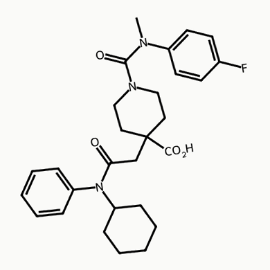 CN(C(=O)N1CCC(CC(=O)N(c2ccccc2)C2CCCCC2)(C(=O)O)CC1)c1ccc(F)cc1